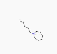 CCCCC[N+]1CCCCCC1